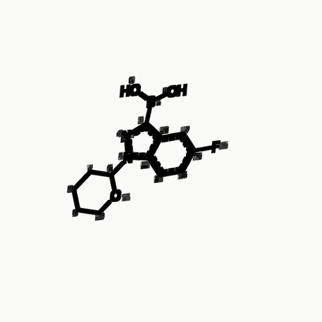 OB(O)c1nn(C2CCCCO2)c2ccc(F)cc12